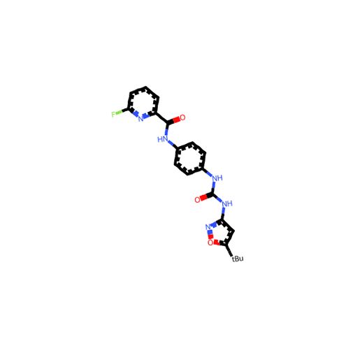 CC(C)(C)c1cc(NC(=O)Nc2ccc(NC(=O)c3cccc(F)n3)cc2)no1